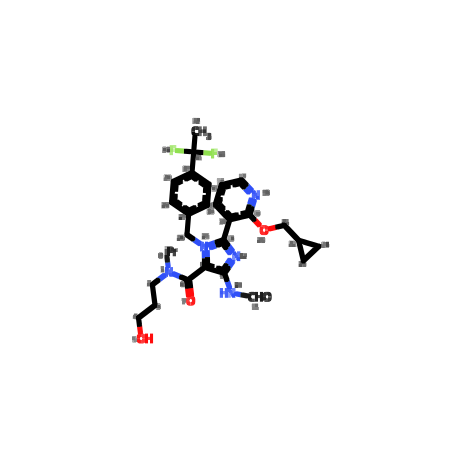 CC(C)N(CCCO)C(=O)c1c(NC=O)nc(-c2cccnc2OCC2CC2)n1Cc1ccc(C(C)(F)F)cc1